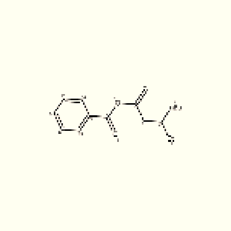 C=C(CC(CC)CCCC)OC(=O)c1ccccc1